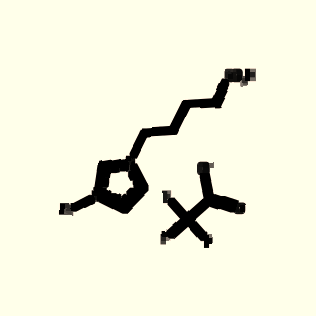 CC[n+]1ccn(CCCCS(=O)(=O)O)c1.O=C([O-])C(F)(F)F